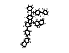 c1ccc(-c2ccc(N(c3ccccc3)c3ccc4c5ccc(-c6ccc(-c7ccc8ccccc8c7)cc6)cc5n(-c5ccc6ccccc6c5)c4c3)cc2)cc1